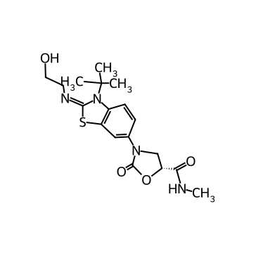 CNC(=O)[C@H]1CN(c2ccc3c(c2)sc(=NCCO)n3C(C)(C)C)C(=O)O1